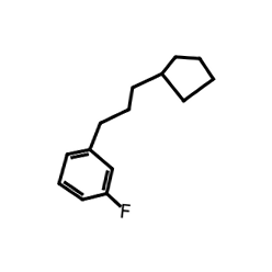 Fc1cccc(CCCC2CCCC2)c1